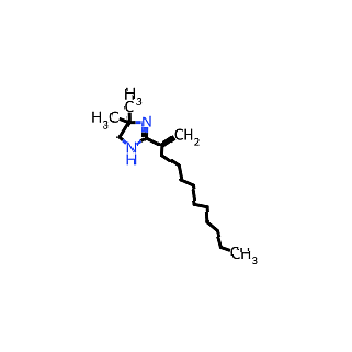 C=C(CCCCCCCCCC)C1=NC(C)(C)CN1